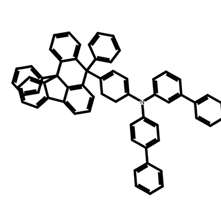 C1=CC(c2cccc(N(C3=CC=C(C4(c5ccccc5)c5ccccc5C5(c6ccccc6)c6ccccc6-c6cccc4c65)CC3)c3ccc(-c4ccccc4)cc3)c2)=CCC1